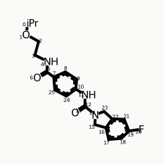 CC(C)OCCNC(=O)c1ccc(NC(=O)N2Cc3ccc(F)cc3C2)cc1